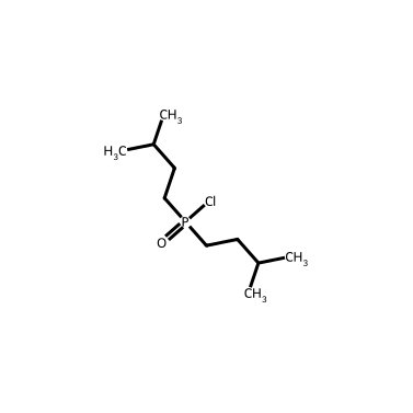 CC(C)CCP(=O)(Cl)CCC(C)C